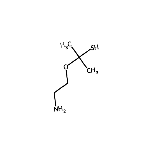 CC(C)(S)OCCN